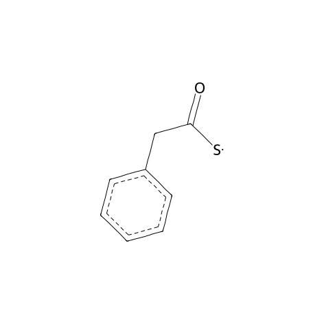 O=C([S])Cc1ccccc1